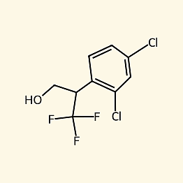 OCC(c1ccc(Cl)cc1Cl)C(F)(F)F